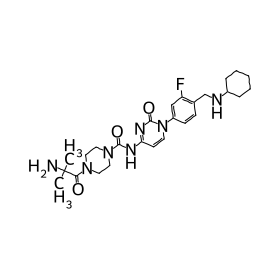 CC(C)(N)C(=O)N1CCN(C(=O)Nc2ccn(-c3ccc(CNC4CCCCC4)c(F)c3)c(=O)n2)CC1